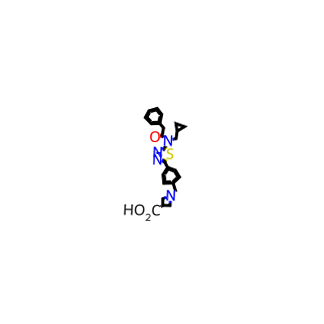 O=C(O)C1CN(Cc2ccc(-c3nnc(N(CC4CC4)C(=O)Cc4ccccc4)s3)cc2)C1